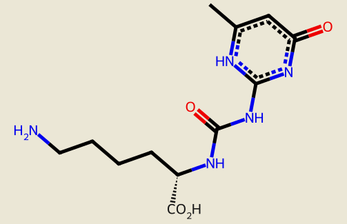 Cc1cc(=O)nc(NC(=O)N[C@@H](CCCCN)C(=O)O)[nH]1